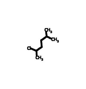 C[C](Cl)CCC(C)C